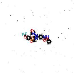 C[C@H]1COCCN1c1cc(C2(S(=O)(=O)c3ccc(OC(F)F)cc3)CC2)nc(-c2ccc(NC(=O)Oc3ccccc3)cc2)n1